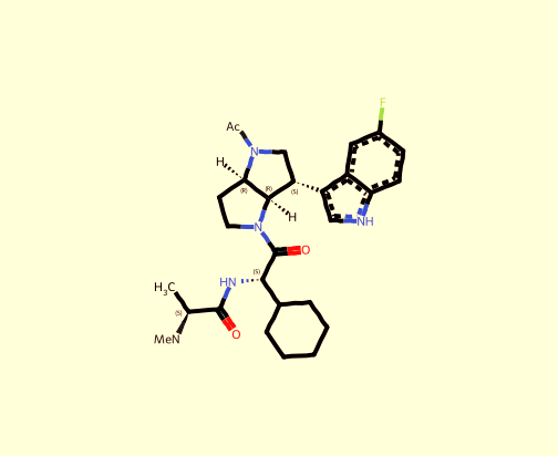 CN[C@@H](C)C(=O)N[C@H](C(=O)N1CC[C@@H]2[C@H]1[C@@H](c1c[nH]c3ccc(F)cc13)CN2C(C)=O)C1CCCCC1